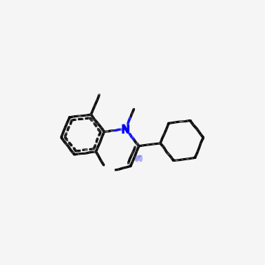 C/C=C(/C1CCCCC1)N(C)c1c(C)cccc1C